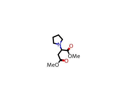 COC(=O)CC(C(=O)OC)N1CCCC1